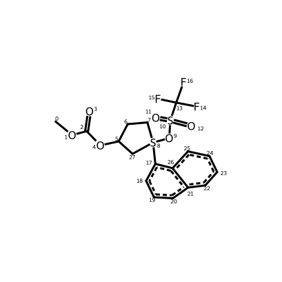 COC(=O)OC1CCS(OS(=O)(=O)C(F)(F)F)(c2cccc3ccccc23)C1